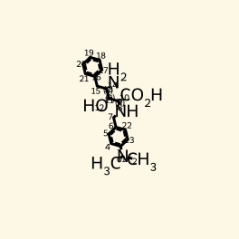 CN(C)c1ccc(CN[C@@H](C(=O)O)[C@H](O)[C@@H](N)Cc2ccccc2)cc1